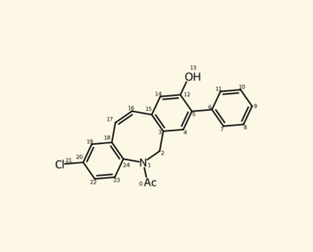 CC(=O)N1Cc2cc(-c3ccccc3)c(O)cc2C=Cc2cc(Cl)ccc21